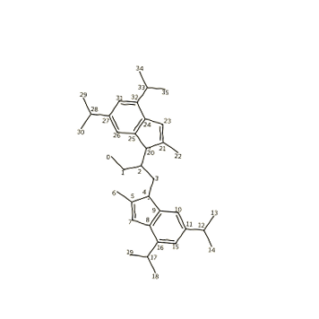 CCC(C[C]1C(C)=Cc2c1cc(C(C)C)cc2C(C)C)[C]1C(C)=Cc2c1cc(C(C)C)cc2C(C)C